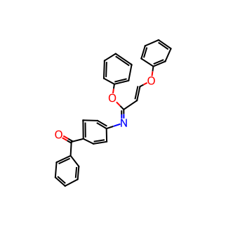 O=C(c1ccccc1)c1ccc(/N=C(/C=C/Oc2ccccc2)Oc2ccccc2)cc1